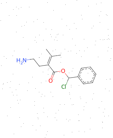 CC(C)=C(CCN)C(=O)OC(Cl)c1ccccc1